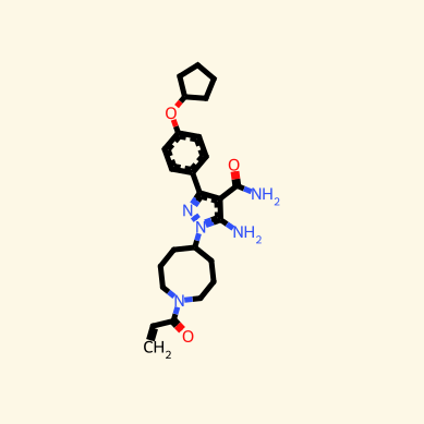 C=CC(=O)N1CCCC(n2nc(-c3ccc(OC4CCCC4)cc3)c(C(N)=O)c2N)CCC1